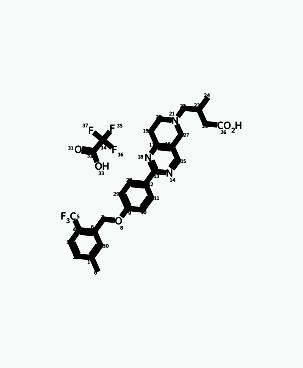 Cc1ccc(C(F)(F)F)c(COc2ccc(-c3ncc4c(n3)CCN(CC(C)CC(=O)O)C4)cc2)c1.O=C(O)C(F)(F)F